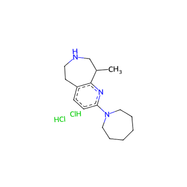 CC1CNCCc2ccc(N3CCCCCC3)nc21.Cl.Cl